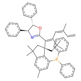 C=C/C(C)=C\C1=C(C2=N[C@@H](c3ccccc3)[C@H](c3ccccc3)O2)[C@@]2(CC1(C)C)CC(C)(C)c1cc(C)cc(P(c3ccccc3)c3ccccc3)c12